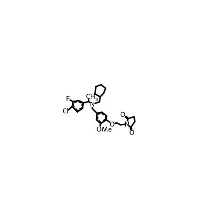 COc1cc(CN(CC2CCCCC2)C(C)c2ccc(Cl)c(F)c2)ccc1OCCN1C(=O)CCC1=O